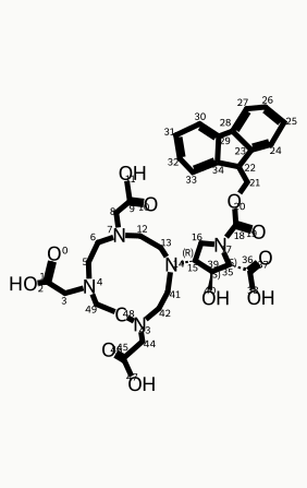 O=C(O)CN1CCN(CC(=O)O)CCN([C@@H]2CN(C(=O)OCC3c4ccccc4-c4ccccc43)[C@H](C(=O)O)[C@H]2O)CCN(CC(=O)O)CC1